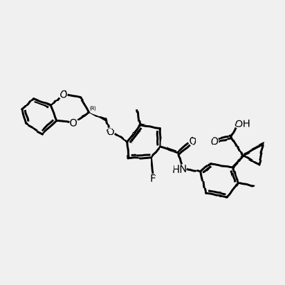 Cc1cc(C(=O)Nc2ccc(C)c(C3(C(=O)O)CC3)c2)c(F)cc1OC[C@@H]1COc2ccccc2O1